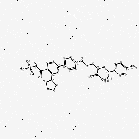 CS(=O)(=O)NC(=O)c1ccc(-c2ccc(OCCN(C[C@@H](O)c3ccc(N)cc3)C(=O)O)cc2)cc1C1CCCC1